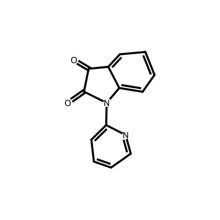 O=C1C(=O)N(c2ccccn2)c2ccccc21